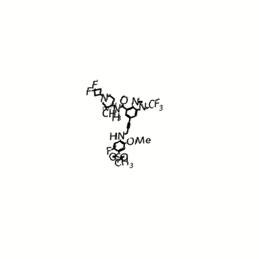 COc1cc(S(C)(=O)=O)c(F)cc1NCC#Cc1cc(C(=O)N[C@H]2CCN(C3CC(F)(F)C3)C[C@@H]2C)c2ncn(CC(F)(F)F)c2c1